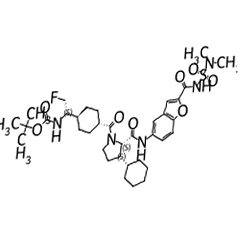 CN(C)S(=O)(=O)NC(=O)c1cc2cc(NC(=O)[C@@H]3[C@H](C4CCCCC4)CCN3C(=O)[C@H]3CC[C@H]([C@@H](CF)NC(=O)OC(C)(C)C)CC3)ccc2o1